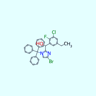 CCc1cc(Cl)c(F)c(C(O)c2nc(Br)cn2C(c2ccccc2)(c2ccccc2)c2ccccc2)c1